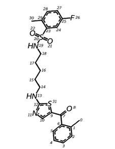 Cc1ccccc1C(=O)c1cnc(NCCCCCNS(=O)(=O)c2cc(F)ccc2C)s1